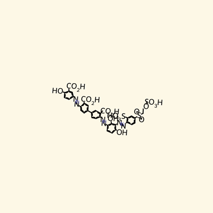 O=C(O)c1cc(/N=N/c2ccc(-c3ccc(/N=N/c4ccc(O)c(/N=N/c5ccc(S(=O)(=O)CCOS(=O)(=O)O)cc5S(=O)(=O)O)c4O)c(C(=O)O)c3)cc2C(=O)O)ccc1O